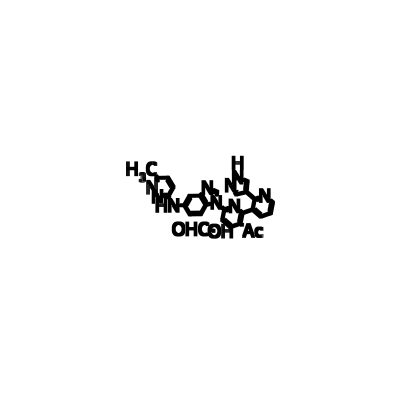 CC(=O)c1ccc(-n2cnc3cc(Nc4ccc(C)nn4)ccc32)nc1-c1cccnc1-c1cn[nH]c1.O=CO